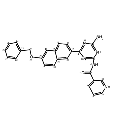 Nc1nc(NC(=O)c2cccnc2)nc(-c2ccc3cc(OCc4ccccc4)ccc3c2)n1